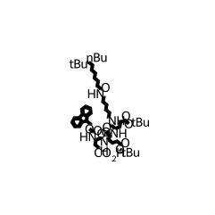 CCCCC(CCCCCCC(=O)NCCCCCCNC(=O)C(CCC(=O)OC(C)(C)C)NC(=O)C(CCC(=O)OC(C)(C)C)NC(=O)C(CCC(=O)O)NC(=O)OCC1c2ccccc2-c2ccccc21)C(C)(C)C